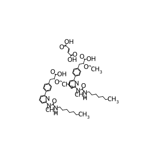 CCCCCCCNC(=O)N(C)c1cccc(-c2ccc(CC(OCC)C(=O)O)cc2)n1.CCCCCCCNC(=O)N(C)c1cccc(-c2ccc(CC(OCC)C(=O)O)cc2)n1.O=C(O)/C=C/C(=O)O